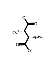 N[C@@H](CC(=O)[O-])C(=O)[O-].[Cu+2]